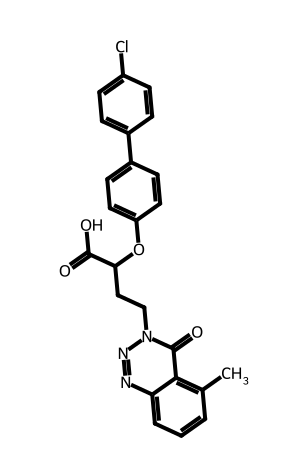 Cc1cccc2nnn(CCC(Oc3ccc(-c4ccc(Cl)cc4)cc3)C(=O)O)c(=O)c12